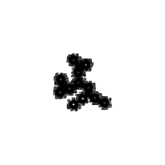 c1ccc(-c2ccc(N(c3ccc(-c4ccccc4)cc3)c3cccc(-c4cc(-c5ccc6c(c5)c5ccccc5n6-c5ccccc5)cc(-c5ccc6c7ccccc7n(-c7ccccc7)c6c5)c4)c3)cc2)cc1